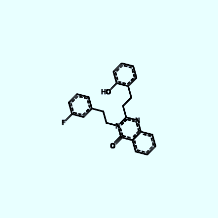 O=c1c2ccccc2nc(CCc2ccccc2O)n1CCc1cccc(F)c1